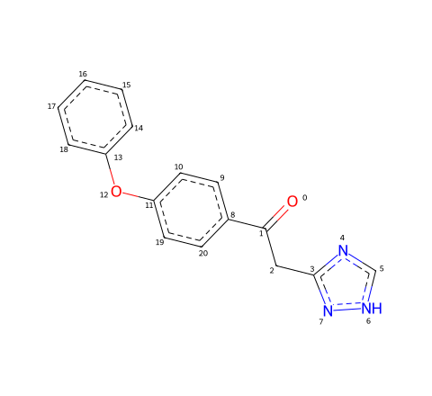 O=C(Cc1nc[nH]n1)c1ccc(Oc2ccccc2)cc1